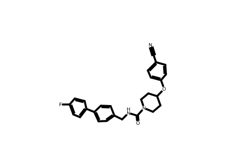 N#Cc1ccc(OC2CCN(C(=O)NCc3ccc(-c4ccc(F)cc4)cc3)CC2)cc1